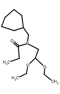 CCOC(CN(CC1CCCCC1)C(=O)CC)OCC